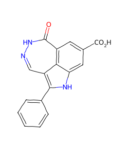 O=C(O)c1cc2c3c(c(-c4ccccc4)[nH]c3c1)C=NNC2=O